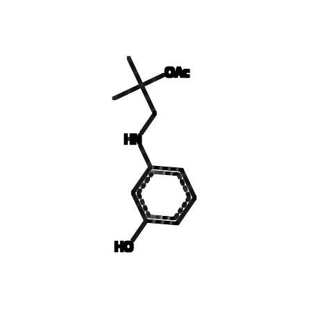 CC(=O)OC(C)(C)CNc1cccc(O)c1